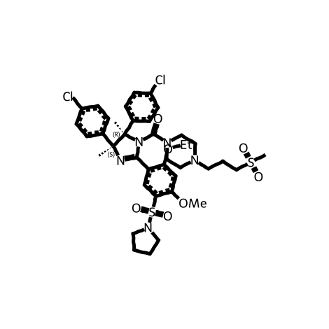 CCOc1cc(OC)c(S(=O)(=O)N2CCCC2)cc1C1=N[C@@](C)(c2ccc(Cl)cc2)[C@@](C)(c2ccc(Cl)cc2)N1C(=O)N1CCN(CCCS(C)(=O)=O)CC1